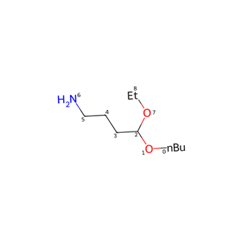 CCCCOC(CCCN)OCC